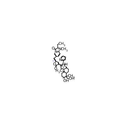 C=C1CCC2[C@](C)(CC[C@@H](O)[C@@]2(C)CO)C1CC(Nc1ccccn1)C1=C/C(=C\C2=CN3C(=O)C(CC)N(C)C3C=C2)OC1=O